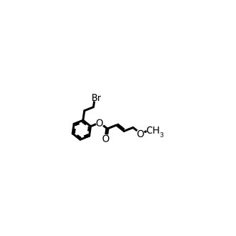 COC/C=C/C(=O)Oc1ccccc1CCBr